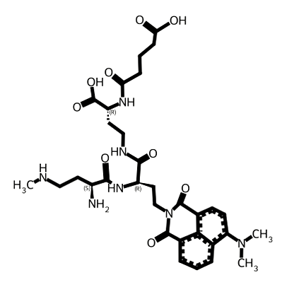 CNCC[C@H](N)C(=O)N[C@H](CCN1C(=O)c2cccc3c(N(C)C)ccc(c23)C1=O)C(=O)NCC[C@@H](NC(=O)CCCC(=O)O)C(=O)O